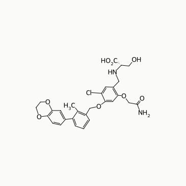 Cc1c(COc2cc(OCC(N)=O)c(CN[C@@H](CO)C(=O)O)cc2Cl)cccc1-c1ccc2c(c1)OCCO2